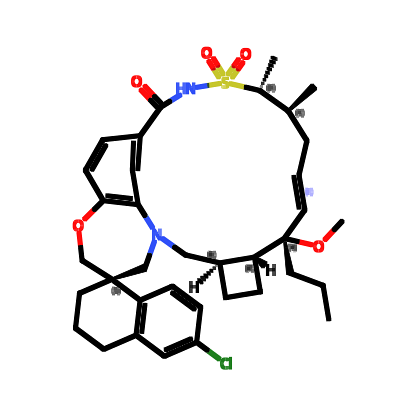 CCC[C@]1(OC)/C=C/C[C@H](C)[C@@H](C)S(=O)(=O)NC(=O)c2ccc3c(c2)N(C[C@@H]2CC[C@H]21)C[C@@]1(CCCc2cc(Cl)ccc21)CO3